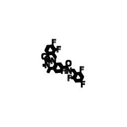 CC1c2ccc(C(=O)NCc3c(F)cc(F)cc3F)cc2N(Cc2c(Cl)ccc(F)c2F)C(=O)N1C